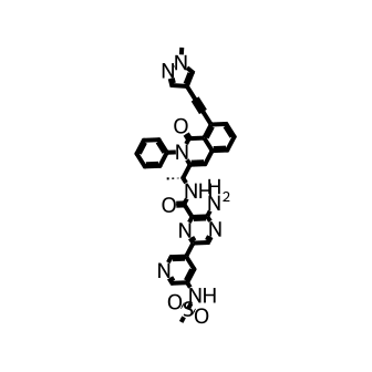 C[C@@H](NC(=O)c1nc(-c2cncc(NS(C)(=O)=O)c2)cnc1N)c1cc2cccc(C#Cc3cnn(C)c3)c2c(=O)n1-c1ccccc1